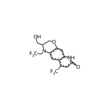 O=c1cc(C(F)(F)F)c2cc3c(cc2[nH]1)OCC(CO)N3CC(F)(F)F